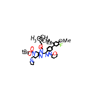 CCc1cc(OC)c(F)cc1-c1ccc2c(-c3nc4c(n3COCC[Si](C)(C)C)CN(C(=O)OC(C)(C)C)C(CN3CCCC3)C4)nn(C3CCCCO3)c2c1